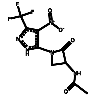 CC(=O)NC1CN(c2[nH]nc(C(F)(F)F)c2[N+](=O)[O-])C1=O